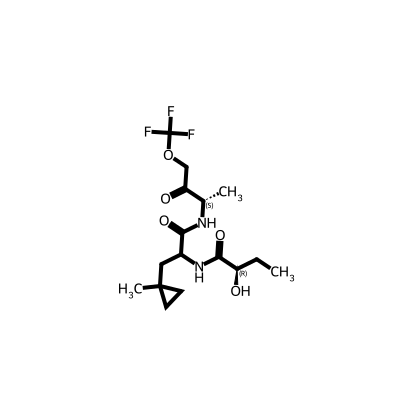 CC[C@@H](O)C(=O)NC(CC1(C)CC1)C(=O)N[C@@H](C)C(=O)COC(F)(F)F